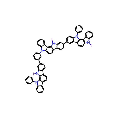 In1c2ccccc2c2c1ccc1c3cc(-c4ccc5c6ccc7c(c8ccccc8n7-c7cccc(-c8ccc9c%10ccc%11c%12ccccc%12n(-c%12ccccc%12)c%11c%10n(I)c9c8)c7)c6n(I)c5c4)ccc3n(-c3ccccc3)c12